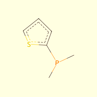 CP(C)c1cccs1